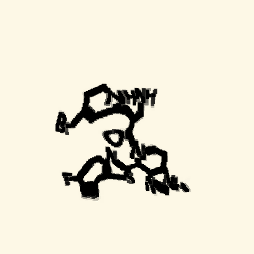 N=C/C(C(=O)N1CCc2[nH]cnc2[C@H]1c1nc2cc(F)ccc2s1)=C1/C=C(Br)C=CN1